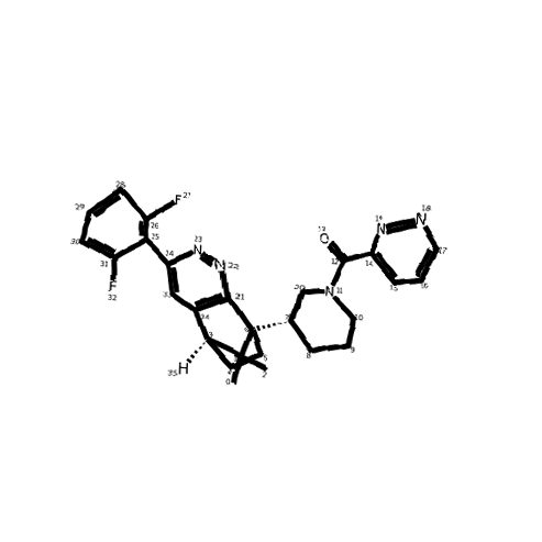 CC1(C)[C@H]2CCC1([C@H]1CCCN(C(=O)c3cccnn3)C1)c1nnc(-c3c(F)cccc3F)cc12